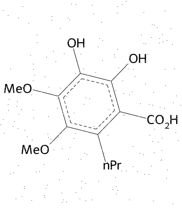 CCCc1c(OC)c(OC)c(O)c(O)c1C(=O)O